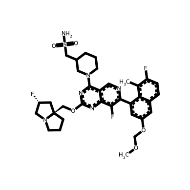 COCOc1cc(-c2ncc3c(N4CCCC(CS(N)(=O)=O)C4)nc(OC[C@@]45CCCN4C[C@H](F)C5)nc3c2F)c2c(C)c(F)ccc2c1